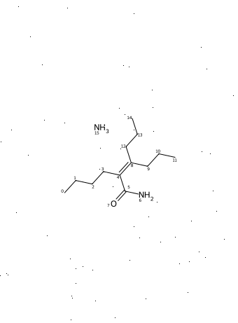 CCCCC(C(N)=O)=C(CCC)CCC.N